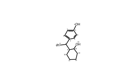 C[C](C)C(c1ccc(O)cc1)C1CCCCC1O